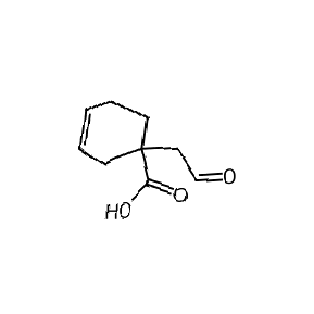 O=CCC1(C(=O)O)CC=CCC1